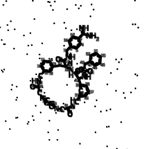 N=C(N)c1ccc(CNC(=O)[C@@H]2Cc3cccc(c3)CNC(=O)CN3CCN(CC3)CC(=O)NCc3cccc(c3)C(NS(=O)(=O)Cc3ccccc3)C(=O)N2)cc1